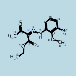 CCOC(=O)/C(=N\Nc1cccc(Br)c1OC)C(C)=O